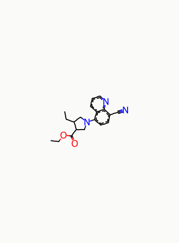 CCOC(=O)C1CN(c2ccc(C#N)c3ncccc23)CC1CC